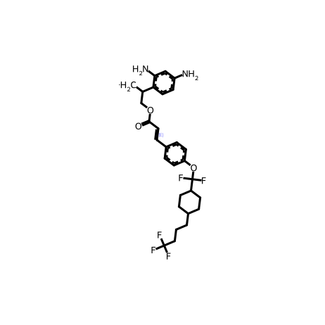 [CH2]C(COC(=O)/C=C/c1ccc(OC(F)(F)C2CCC(CCCC(F)(F)F)CC2)cc1)c1ccc(N)cc1N